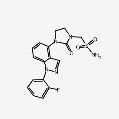 NS(=O)(=O)CN1CCN(c2cccc3c2cnn3-c2ccccc2F)C1=O